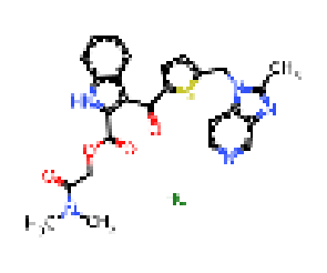 Cc1nc2cnccc2n1Cc1ccc(C(=O)c2c(C(=O)OCC(=O)N(C)C)[nH]c3ccccc23)s1.Cl